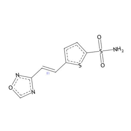 NS(=O)(=O)c1ccc(/C=C/c2ncon2)s1